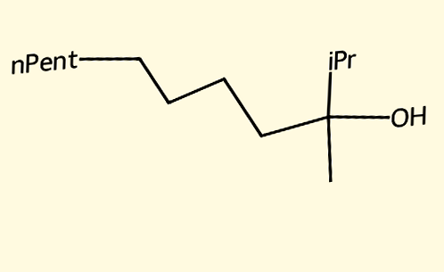 CCCCCCCCCC(C)(O)C(C)C